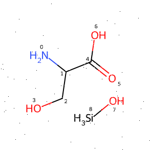 NC(CO)C(=O)O.O[SiH3]